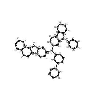 c1ccc(-c2cccc(N(c3ccc4c(c3)sc3c5ccccc5ccc43)c3ccc4c5ccccc5n(-c5ccccc5)c4c3)c2)cc1